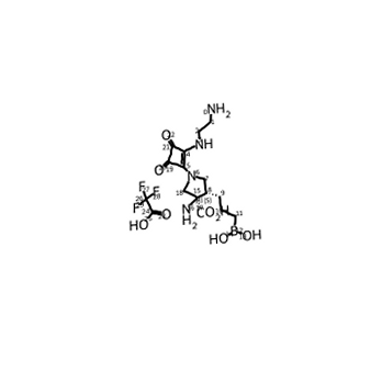 NCCNc1c(N2C[C@H](CCCB(O)O)[C@](N)(C(=O)O)C2)c(=O)c1=O.O=C(O)C(F)(F)F